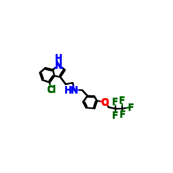 FC(F)(F)C(F)(F)COc1cccc(CNCCc2c[nH]c3cccc(Cl)c23)c1